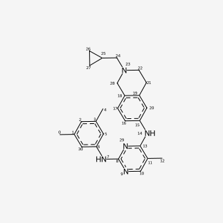 Cc1cc(C)cc(Nc2ncc(C)c(Nc3ccc4c(c3)CCN(CC3CC3)C4)n2)c1